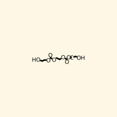 O=C(OCCO)OCCOC(=O)OCCO